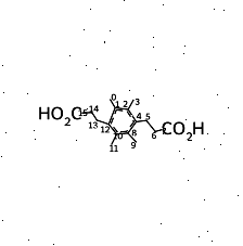 Cc1c(C)c(CCC(=O)O)c(C)c(C)c1CCC(=O)O